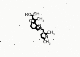 CC1=CCC(Cn2cc3c(n2)-c2c(oc(C(O)O)c2C)CC3)C(C)=N1